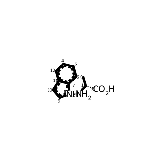 C[C@@H](N)C(=O)O.c1ccc2[nH]ccc2c1